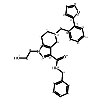 O=C(NCc1ccccc1)c1nn(CCO)c2c1CN(Cc1ccccc1-c1ccco1)CC2